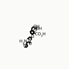 NC(C(=O)N1CC[C@H](Oc2ccc3c(c2C(=O)O)O[B-](O)(O)CC3)C1)C1=CCC=N1